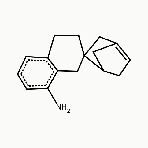 Nc1cccc2c1CC1(CC2)CC2=CCC1C2